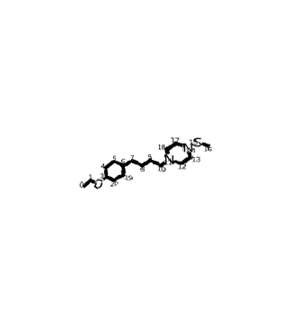 CCOC1CCC(CCCCN2CCN(SC)CC2)CC1